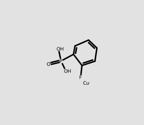 O=P(O)(O)c1ccccc1F.[Cu]